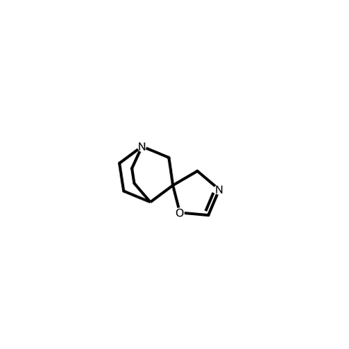 C1=NCC2(CN3CCC2CC3)O1